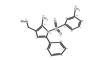 CNCc1cc(-c2ccccc2)n(S(=O)(=O)c2cccc(C)c2)c1C